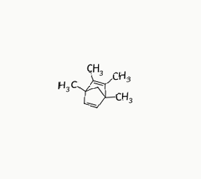 CC1=C(C)C2(C)C=CC1(C)C2